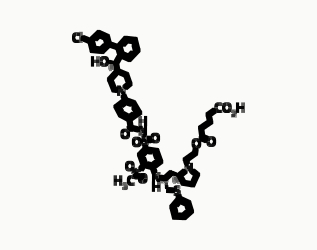 CS(=O)(=O)c1cc(S(=O)(=O)NC(=O)c2ccc(N3CCC([C@@H](O)c4ccccc4-c4ccc(Cl)cc4)CC3)cc2)ccc1N[C@@H](CSc1ccccc1)C[C@@H]1CCCN1CCOC(=O)CCCC(=O)O